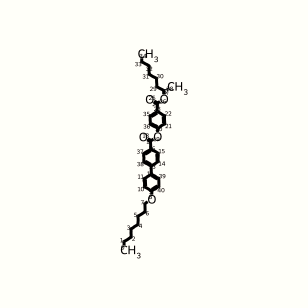 CCCCCCCCOc1ccc(-c2ccc(C(=O)Oc3ccc(C(=O)O[C@@H](C)CCCCCC)cc3)cc2)cc1